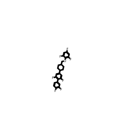 Fc1cc(F)c(OCC2CCC(c3cc(F)c(-c4ccc(F)c(F)c4)c(F)c3)CC2)c(F)c1